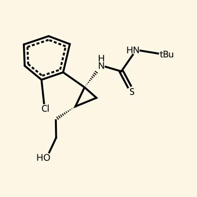 CC(C)(C)NC(=S)N[C@]1(c2ccccc2Cl)C[C@@H]1CCO